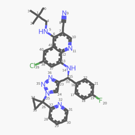 CC(C)(C)CNc1c(C#N)cnc2c(N[C@@H](c3ccc(F)cc3)c3cn(C4(c5ccccn5)CC4)nn3)cc(Cl)cc12